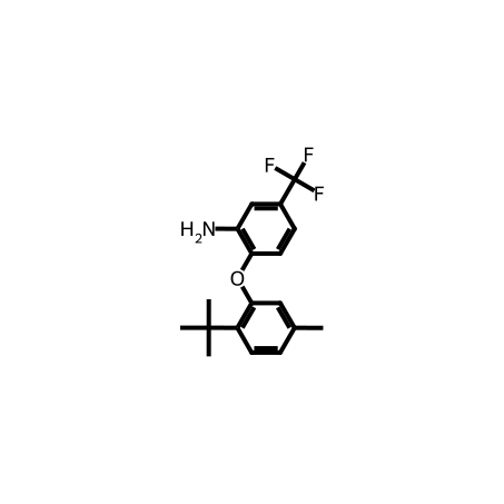 Cc1ccc(C(C)(C)C)c(Oc2ccc(C(F)(F)F)cc2N)c1